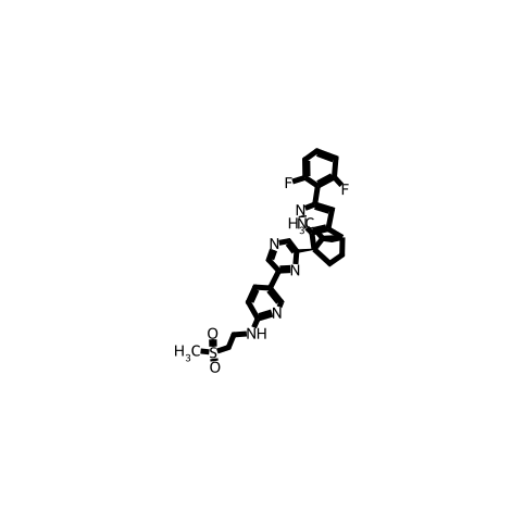 CC12CC13CC[C@]2(c1cncc(-c2ccc(NCCS(C)(=O)=O)nc2)n1)c1nnc(-c2c(F)cccc2F)cc13